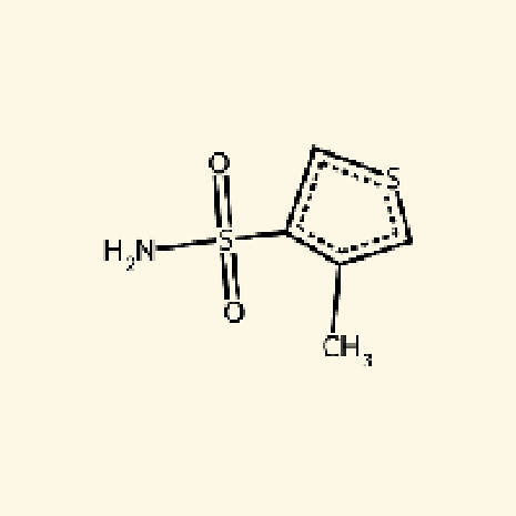 Cc1cscc1S(N)(=O)=O